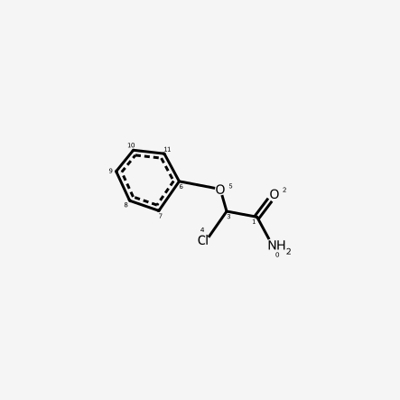 NC(=O)C(Cl)Oc1ccccc1